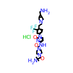 CC(C)(N)C(=O)N1CCN(C(=O)Nc2ccn(-c3ccc(CCN4CC5C(CN)C5C4)c(C(F)(F)F)c3)c(=O)n2)CC1.Cl